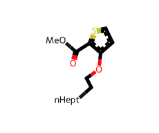 CCCCCCCCCOc1ccsc1C(=O)OC